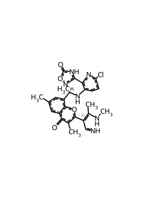 CN/C(C)=C(\C=N)c1oc2c([C@@H](C)Nc3ccc(Cl)nc3-c3noc(=O)[nH]3)cc(C)cc2c(=O)c1C